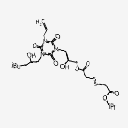 C=CCn1c(=O)n(CC(O)COC(=O)CSSCC(=O)OC(C)C)c(=O)n(CC(O)CC(C)CC)c1=O